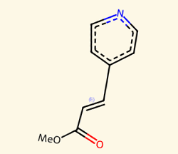 COC(=O)/C=C/c1ccncc1